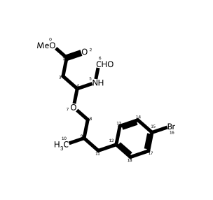 COC(=O)CC(NC=O)OCC(C)Cc1ccc(Br)cc1